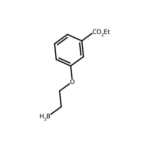 BCCOc1cccc(C(=O)OCC)c1